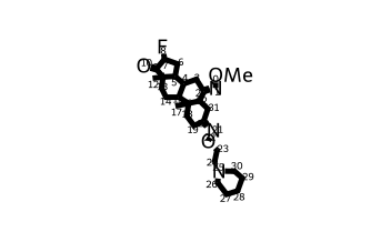 CON=C1CC2C3CC(F)C(=O)C3(C)CCC2C2(C)CCC(=NOCCN3CCCCC3)CC12